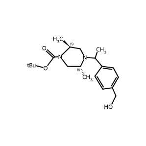 CC(c1ccc(CO)cc1)N1C[C@H](C)N(C(=O)OC(C)(C)C)C[C@H]1C